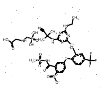 CCNc1nc(Cl)nc(NC(C)(C)C#N)n1.CS(=O)(=O)NC(=O)c1cc(Oc2ccc(C(F)(F)F)cc2Cl)ccc1[N+](=O)[O-].O=C(O)CNCP(=O)(O)O